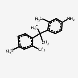 Cc1cc(N)ccc1C(C)(C)c1ccc(N)cc1C